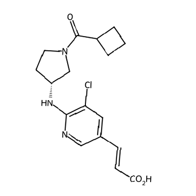 O=C(O)/C=C/c1cnc(N[C@@H]2CCN(C(=O)C3CCC3)C2)c(Cl)c1